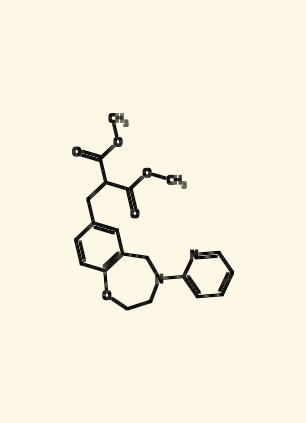 COC(=O)C(Cc1ccc2c(c1)CN(c1ccccn1)CCO2)C(=O)OC